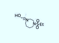 CCS(=O)(=O)N1CCCCN([C@@H](C)CO)CC1